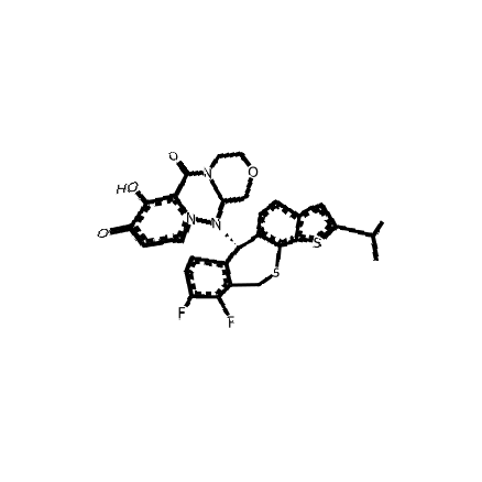 CC(C)c1cc2ccc3c(c2s1)SCc1c(ccc(F)c1F)[C@@H]3N1C2COCCN2C(=O)c2c(O)c(=O)ccn21